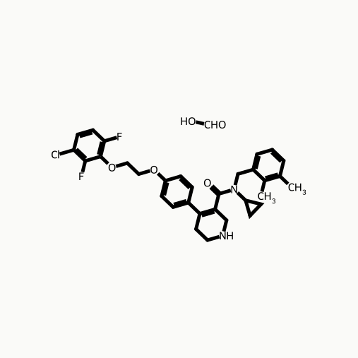 Cc1cccc(CN(C(=O)C2=C(c3ccc(OCCOc4c(F)ccc(Cl)c4F)cc3)CCNC2)C2CC2)c1C.O=CO